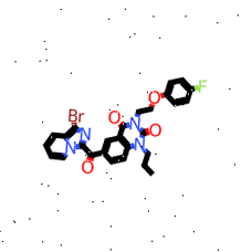 CCCn1c(=O)n(CCOc2ccc(F)cc2)c(=O)c2cc(C(=O)c3nc(Br)c4ccccn34)ccc21